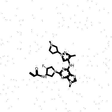 C=CC(=O)N[C@@H]1CN(c2nc(Nc3cn(C4CCN(C)C4)nc3C)c3ncn(C)c3n2)C[C@H]1F